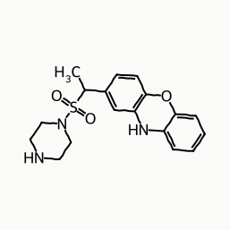 CC(c1ccc2c(c1)Nc1ccccc1O2)S(=O)(=O)N1CCNCC1